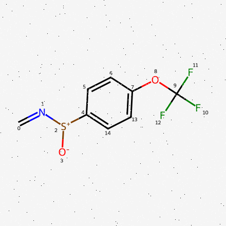 C=N[S+]([O-])c1ccc(OC(F)(F)F)cc1